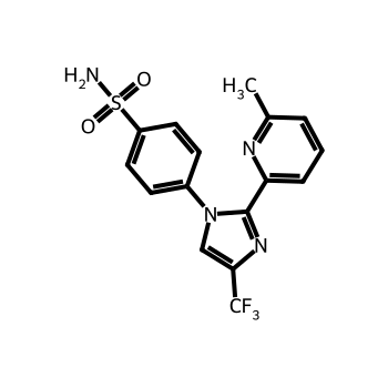 Cc1cccc(-c2nc(C(F)(F)F)cn2-c2ccc(S(N)(=O)=O)cc2)n1